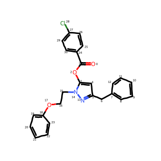 O=C(Oc1cc(Cc2ccccc2)nn1CCOc1ccccc1)c1ccc(Cl)cc1